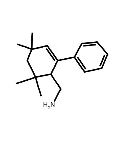 CC1(C)C=C(c2ccccc2)C(CN)C(C)(C)C1